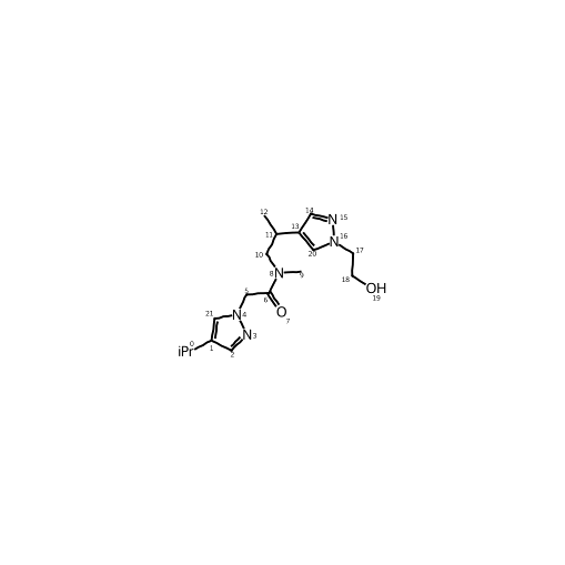 CC(C)c1cnn(CC(=O)N(C)CC(C)c2cnn(CCO)c2)c1